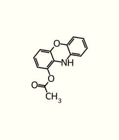 CC(=O)Oc1cccc2c1Nc1ccccc1O2